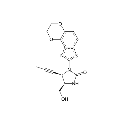 CC#C[C@@H]1[C@H](CO)NC(=O)N1c1nc2c3c(ccc2s1)OCCO3